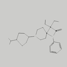 CC(C)C1CCC(N2CCC3(CC2)N(c2ccccc2)C(=O)C3(CO)CO)CC1.Cl